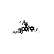 CNS(=O)(=O)N1CCc2c(ccc(Nc3ccc(C(F)(F)F)cc3)c2-c2cn(C)cn2)C1